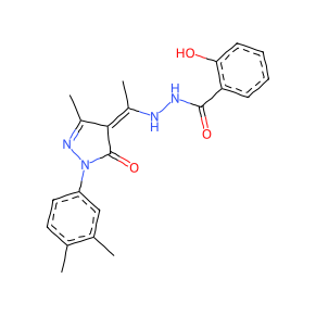 CC1=NN(c2ccc(C)c(C)c2)C(=O)/C1=C(/C)NNC(=O)c1ccccc1O